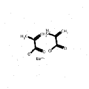 C=C(C)C(=O)[O-].C=C(C)C(=O)[O-].[Eu+2]